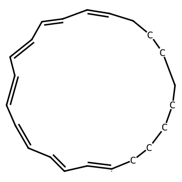 [C]1=C/C=C/C=C\C=C\C=C\C=C\C=C/CCCCCCCC/1